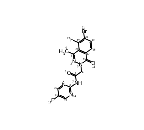 Cc1nn(CC(=O)Nc2ncc(F)cn2)c(=O)c2ccc(Br)c(F)c12